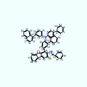 c1ccc(-c2ccc(N(c3cccc(-c4cccc5ccccc45)c3)c3ccc(-c4c5nc(-c6ccccc6)sc5cc5c4oc4ccccc45)cc3-c3ccccc3)cc2)cc1